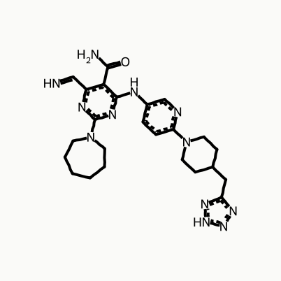 N=Cc1nc(N2CCCCCC2)nc(Nc2ccc(N3CCC(Cc4nn[nH]n4)CC3)nc2)c1C(N)=O